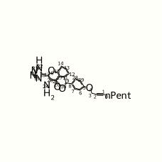 CCCCCC#CCOc1ccc(C(=O)c2cccc3oc(-c4nnn[nH]4)c(N)c(=O)c23)cc1